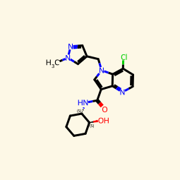 Cn1cc(Cn2cc(C(=O)N[C@H]3CCCC[C@@H]3O)c3nccc(Cl)c32)cn1